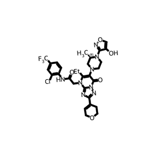 CCc1c(N2CCN(c3nocc3O)[C@H](C)C2)c(=O)n2nc(C3=CCOCC3)nc2n1CC(=O)Nc1ccc(C(F)(F)F)cc1Cl